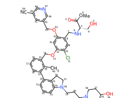 COC(=O)[C@H](CO)NCc1cc(Cl)c(OCc2cccc(-c3cccc4c3CCN4CCCN3CCC(O)CC3)c2C)cc1OCc1cncc(C#N)c1